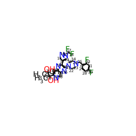 CC(C)(O)[C@](C)(O)c1cc2nc(-c3cnn(C(F)F)c3)c(N3CCN(Cc4ccc(F)cc4F)CC3)nc2cn1